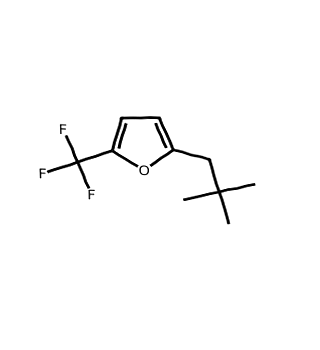 CC(C)(C)Cc1ccc(C(F)(F)F)o1